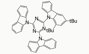 CC(C)(C)c1cc(C(C)(C)C)c2c(c1)c1ccccc1n2-c1nc(-n2c3ccccc3c3ccccc32)nc(-n2c3ccccc3c3ccccc32)n1